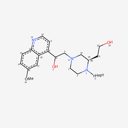 CCCCCCCN1CCN(CC(O)c2ccnc3ccc(OC)cc23)C[C@H]1CCO